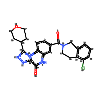 O=C(c1ccc2c(c1)[nH]c(=O)c1nnc(C3CCOCC3)n12)N1CCc2c(Cl)cccc2C1